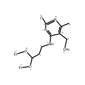 CCOC(CCNc1nc(Cl)nc(C)c1COC(C)=O)OCC